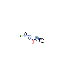 NC(Cc1ccccc1Cl)C(=O)N1CCN(c2cccc(Cl)n2)CC1